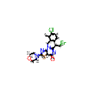 Cc1c(Cl)cccc1Cn1c(CCBr)nc(=O)c2sc(N3CCOCC3)nc21